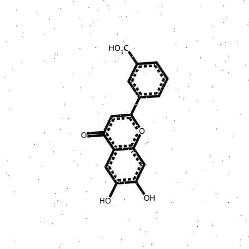 O=C(O)c1cccc(-c2cc(=O)c3cc(O)c(O)cc3o2)c1